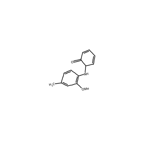 COc1cc(C)ccc1NC1C=CC=CC1=O